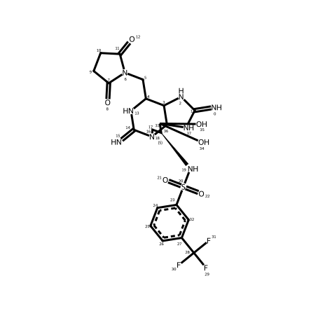 N=C1NC2C(CN3C(=O)CCC3=O)NC(=N)N3C[C@H](NS(=O)(=O)c4cccc(C(F)(F)F)c4)C(O)(O)C23N1